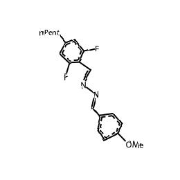 CCCCCc1cc(F)c(/C=N/N=C/c2ccc(OC)cc2)c(F)c1